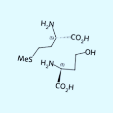 CSCC[C@H](N)C(=O)O.N[C@@H](CCO)C(=O)O